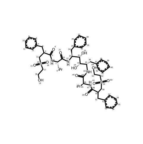 CC(C)[C@H](NC(=O)C(Cc1ccccc1)CS(=O)(=O)CCO)C(=O)N[C@@H](Cc1ccccc1)[C@H](O)[C@@H](O)[C@H](Cc1ccccc1)NC(=O)[C@@H](NC(=O)C(Cc1ccccc1)CS(=O)(=O)CCO)C(C)C